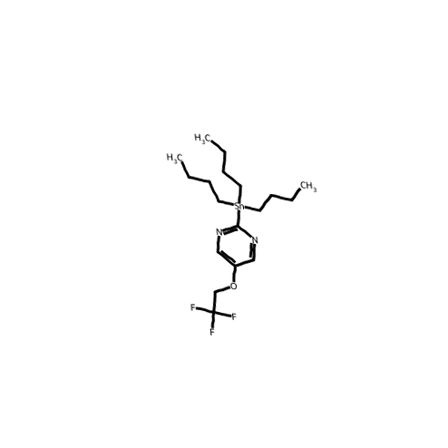 CCC[CH2][Sn]([CH2]CCC)([CH2]CCC)[c]1ncc(OCC(F)(F)F)cn1